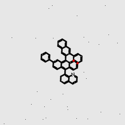 C1=c2cccnc2=C(c2c3ccccc3c(-c3cc4ccccc4cc3-c3ccccc3)c3cc(-c4ccccc4)ccc23)CC1